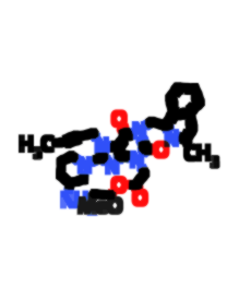 CC#CCn1c(N2CCCC(N)C2)nc2c1c(=O)n(Cc1nc(C)cc3ccccc13)c(=O)n2CC(=O)OCCOC